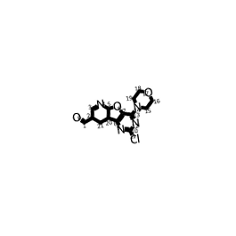 O=CC1C=NC2Oc3c(nc(Cl)nc3N3CCOCC3)C2C1